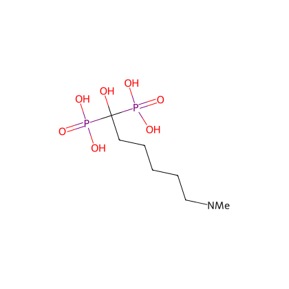 CNCCCCCC(O)(P(=O)(O)O)P(=O)(O)O